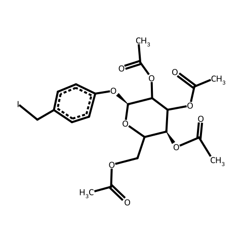 CC(=O)OCC1O[C@@H](Oc2ccc(CI)cc2)C(OC(C)=O)C(OC(C)=O)[C@H]1OC(C)=O